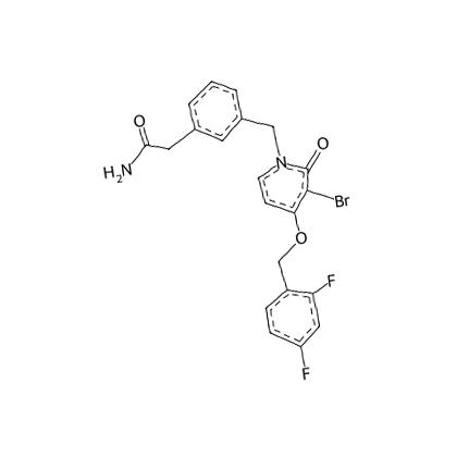 NC(=O)Cc1cccc(Cn2ccc(OCc3ccc(F)cc3F)c(Br)c2=O)c1